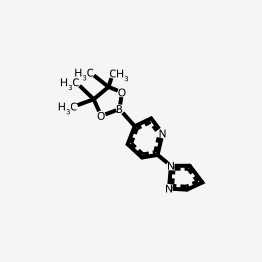 CC1(C)OB(c2ccc(-n3cccn3)nc2)OC1(C)C